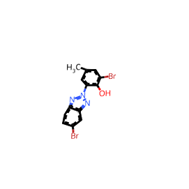 Cc1cc(Br)c(O)c(-n2nc3ccc(Br)cc3n2)c1